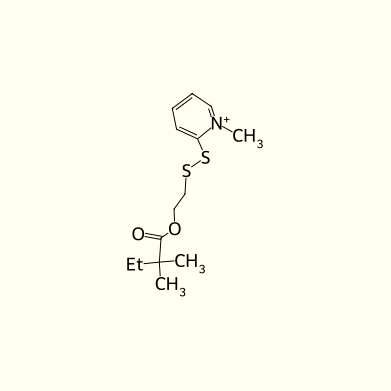 CCC(C)(C)C(=O)OCCSSc1cccc[n+]1C